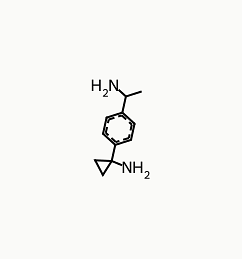 CC(N)c1ccc(C2(N)CC2)cc1